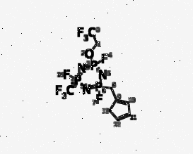 FC(F)(F)COP1(F)=NP(F)(CC2=CC=CC2)=NP(F)(C(F)(F)F)=N1